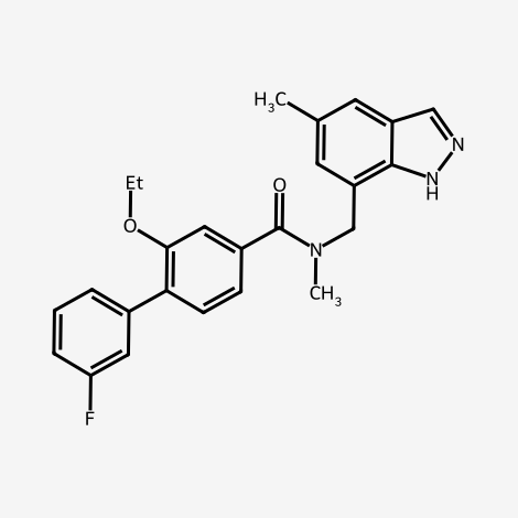 CCOc1cc(C(=O)N(C)Cc2cc(C)cc3cn[nH]c23)ccc1-c1cccc(F)c1